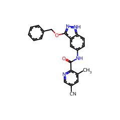 Cc1cc(C#N)cnc1C(=O)Nc1ccc2[nH]nc(OCc3ccccc3)c2c1